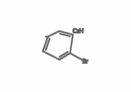 Brc1cc[c]cc1.[CsH]